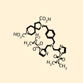 CN(C)S(=O)(=O)n1ccnc1CN(Cc1ccc(CN2CC3(CCN(C(=O)O)CC3)C[C@@H]2C(=O)O)cc1)Cc1nccn1S(=O)(=O)N(C)C